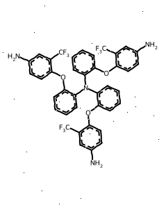 Nc1ccc(Oc2ccccc2N(c2ccccc2Oc2ccc(N)cc2C(F)(F)F)c2ccccc2Oc2ccc(N)cc2C(F)(F)F)c(C(F)(F)F)c1